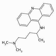 CC(CCCN(C)C)Nc1c2ccccc2nc2ccccc12